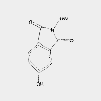 CC(C)(C)N1C(=O)c2ccc(O)cc2C1=O